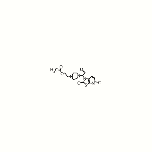 CC(=O)OCCN1CCN(C(C=O)n2c(=O)sc3nc(Cl)ccc32)CC1